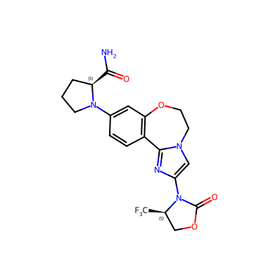 NC(=O)[C@@H]1CCCN1c1ccc2c(c1)OCCn1cc(N3C(=O)OC[C@H]3C(F)(F)F)nc1-2